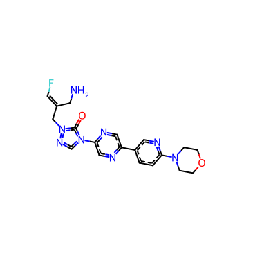 NC/C(=C\F)Cn1ncn(-c2cnc(-c3ccc(N4CCOCC4)nc3)cn2)c1=O